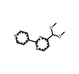 COC(OC)c1ccnc(-c2ccncc2)n1